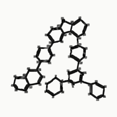 C1=CCCC(c2nc(-c3ccccc3)nc(-c3ccc(-c4cccc5oc6ccc(-c7ccc(-c8ccc9ccccc9c8)cc7)cc6c45)cc3)n2)=C1